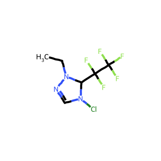 CCN1N=CN(Cl)C1C(F)(F)C(F)(F)F